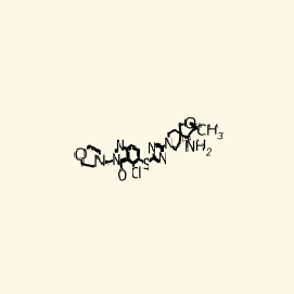 C[C@@H]1OCC2(CCN(c3cnc(Sc4ccc5ncn(CN6CCOCC6)c(=O)c5c4Cl)cn3)CC2)[C@@H]1N